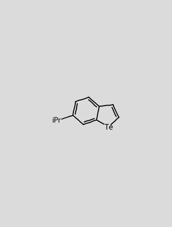 CC(C)c1ccc2cc[te]c2c1